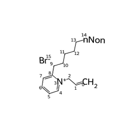 C=CC[n+]1ccccc1CCCCCCCCCCCCCC.[Br-]